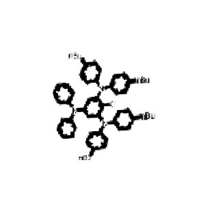 CCCCc1ccc(N(c2ccc(CCCC)cc2)c2cc(N(c3ccccc3)c3ccccc3)cc(N(c3ccc(CCCC)cc3)c3ccc(CCCC)cc3)c2Cl)cc1